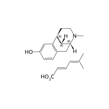 CC(C)=CC=CC(=O)O.CN1CC[C@]23CCCC[C@H]2[C@H]1Cc1ccc(O)cc13